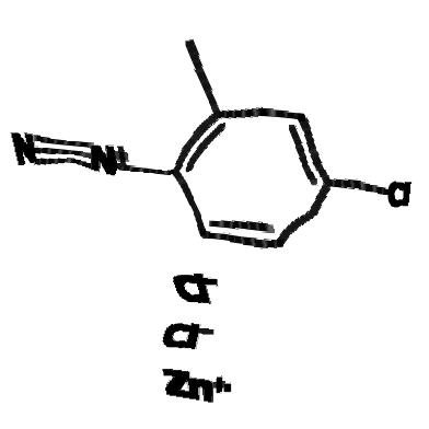 Cc1cc(Cl)ccc1[N+]#N.[Cl-].[Cl-].[Zn+]